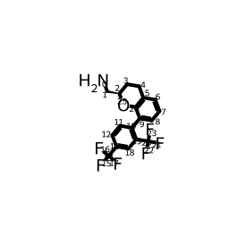 NC[C@H]1CCc2cccc(-c3ccc(C(F)(F)F)cc3C(F)(F)F)c2O1